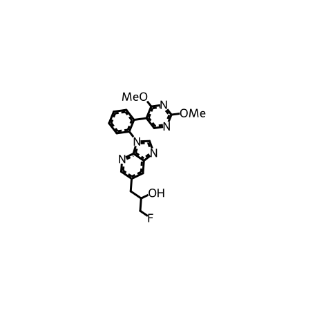 COc1ncc(-c2ccccc2-n2cnc3cc(CC(O)CF)cnc32)c(OC)n1